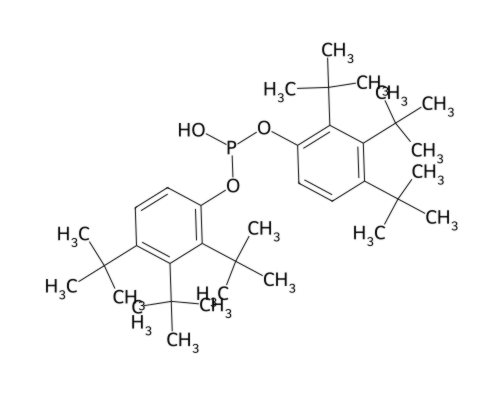 CC(C)(C)c1ccc(OP(O)Oc2ccc(C(C)(C)C)c(C(C)(C)C)c2C(C)(C)C)c(C(C)(C)C)c1C(C)(C)C